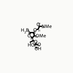 B[C@@H]1O[C@H](C(C)OP(=O)(O)O)[C@@H](OC)[C@H]1OCC(=O)NC